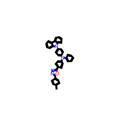 Cc1ccc(-c2nnc(-c3ccc(N(c4ccccc4)c4ccc(-n5c6ccccc6c6ccccc65)cc4)cc3)o2)cc1